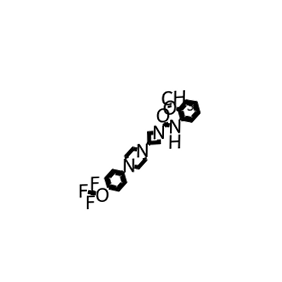 COc1ccccc1NC(=O)N1CC(N2CCN(c3ccc(OC(F)(F)F)cc3)CC2)C1